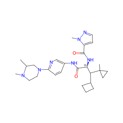 CC1CN(c2ccc(NC(=O)[C@@H](NC(=O)c3ccnn3C)C(C3CCC3)C3(C)CC3)cn2)CCN1C